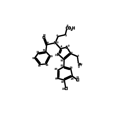 CC(C)Cc1sc(N(CCC(=O)O)C(=O)c2ccccc2)nc1-c1ccc(Cl)c(Cl)c1